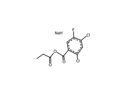 CCC(=O)OC(=O)c1cc(F)c(Cl)cc1Cl.[NaH]